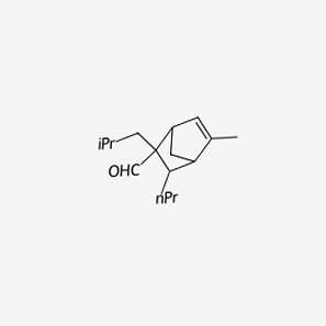 CCCC1C2CC(C=C2C)C1(C=O)CC(C)C